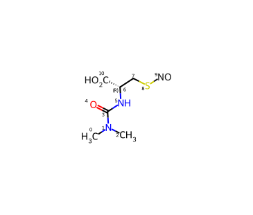 CN(C)C(=O)N[C@@H](CSN=O)C(=O)O